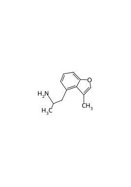 Cc1coc2cccc(CC(C)N)c12